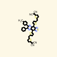 Cc1ccc(-c2nc3c(-c4ccc(/C=c5/ccc(=C(C#N)C#N)s5)s4)c4nsnc4c(-c4ccc(/C=c5/ccc(=C(C#N)C#N)s5)s4)c3nc2-c2ccccc2)cc1